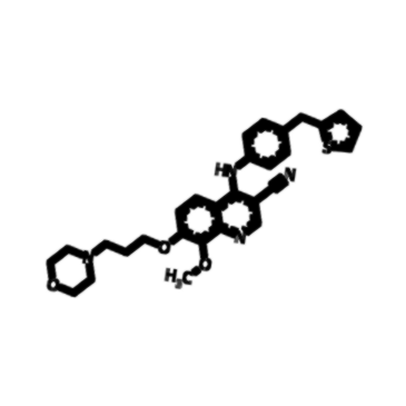 COc1c(OCCCN2CCOCC2)ccc2c(Nc3ccc(Cc4cccs4)cc3)c(C#N)cnc12